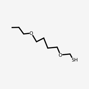 CCCOCCCCOCS